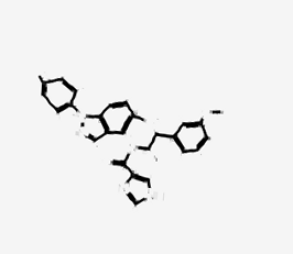 COc1cccc([C@H](Oc2ccc3c(cnn3-c3ccc(F)cc3)c2)[C@H](C)NC(=O)c2c[nH]cn2)c1